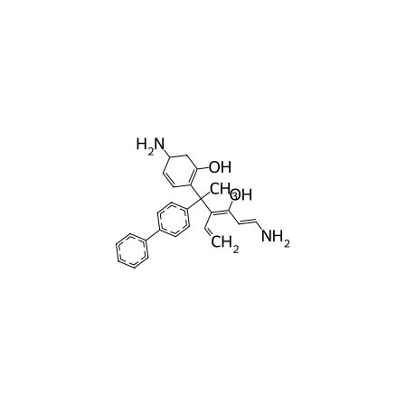 C=C/C(=C(O)\C=C\N)C(C)(C1=C(O)CC(N)C=C1)c1ccc(-c2ccccc2)cc1